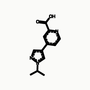 CC(C)n1cc(-c2ccnc(C(=O)O)c2)cn1